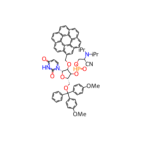 COc1ccc(C(OC[C@@H]2O[C@H](n3ccc(=O)[nH]c3=O)C(OCc3cc4ccc5ccc6ccc7ccc8ccc3c3c8c7c6c5c43)C2O[PH](=O)OCC(C#N)N(C(C)C)C(C)C)(c2ccccc2)c2ccc(OC)cc2)cc1